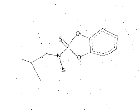 CC(C)CN([S])P1(=S)Oc2ccccc2O1